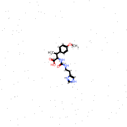 COc1ccc(C(C)C(NC(=O)NCCc2c[nH]cn2)C(=O)O)cc1